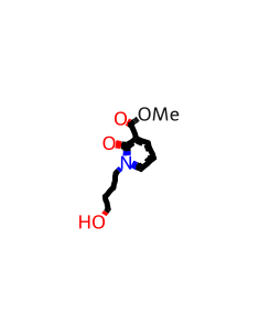 COC(=O)c1cccn(CCCCO)c1=O